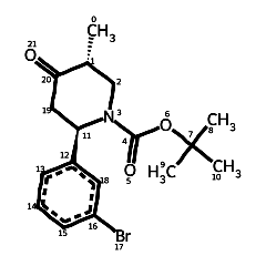 C[C@@H]1CN(C(=O)OC(C)(C)C)[C@@H](c2cccc(Br)c2)CC1=O